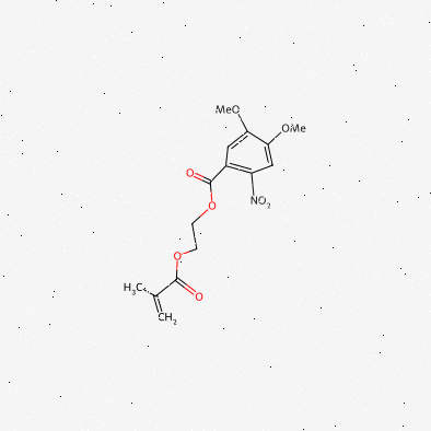 C=C(C)C(=O)OCCOC(=O)c1cc(OC)c(OC)cc1[N+](=O)[O-]